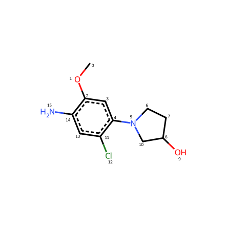 COc1cc(N2CCC(O)C2)c(Cl)cc1N